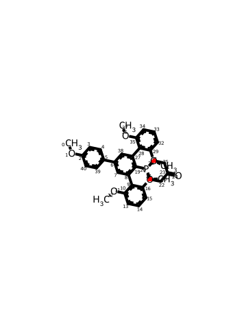 COc1ccc(-c2cc(-c3c(OC)cccc3OC)c(P3CCC(=O)CC3)c(-c3c(OC)cccc3OC)c2)cc1